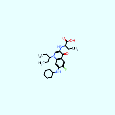 CCC(Nc1cn(C(CC)CC)c2cc(NC3CCCCC3)c(F)cc2c1=O)C(=O)O